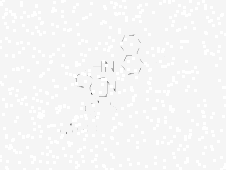 COC(=O)C(C)Sc1nc(Nc2ccc(C3CC3)c3ccccc23)c2sccc2n1